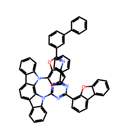 c1ccc(-c2cccc(-c3nc4cccc(-n5c6ccccc6c6ccc7c8ccccc8n(-c8nc(-c9ccccc9)nc(-c9cccc%10c9oc9ccccc9%10)n8)c7c65)c4o3)c2)cc1